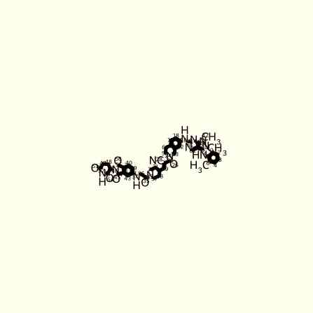 Cc1cccc(C)c1Nc1nn(C)c2nc(Nc3ccc4c(c3)CN(C(=O)/C(C#N)=C/C3CCN(C(=O)CNc5ccc6c(c5)C(=O)N(C5CCC(=O)NC5=O)C6=O)CC3)CC4)ncc12